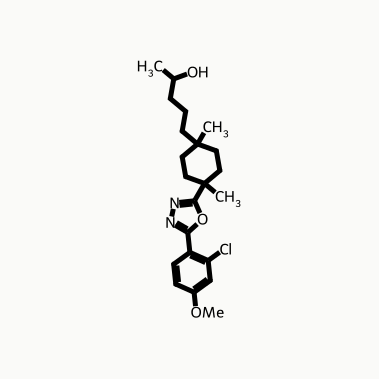 COc1ccc(-c2nnc(C3(C)CCC(C)(CCCC(C)O)CC3)o2)c(Cl)c1